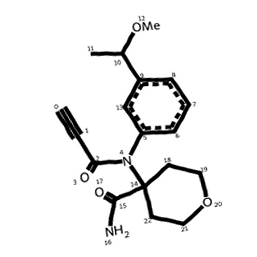 C#CC(=O)N(c1cccc(C(C)OC)c1)C1(C(N)=O)CCOCC1